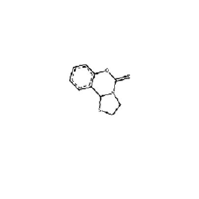 S=C1Oc2ccccc2C2SCCN12